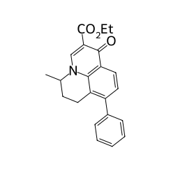 CCOC(=O)c1cn2c3c(c(-c4ccccc4)ccc3c1=O)CCC2C